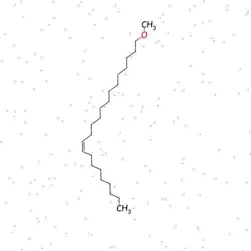 CCCCCCCC/C=C\CCCCCCCCCCCCOC